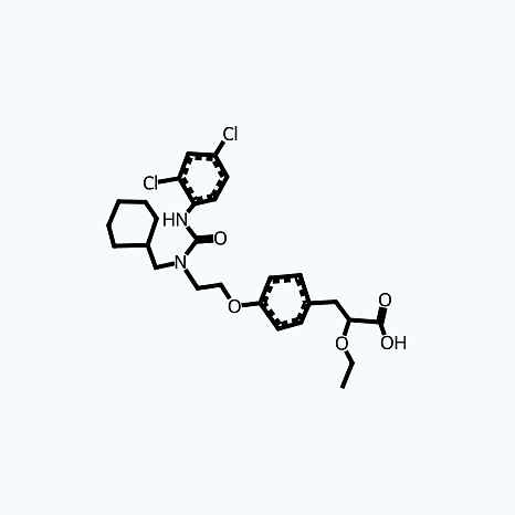 CCOC(Cc1ccc(OCCN(CC2CCCCC2)C(=O)Nc2ccc(Cl)cc2Cl)cc1)C(=O)O